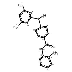 Cc1cc(C)nc(C(S)c2ccc(C(=O)Nc3ccccc3N)cc2)n1